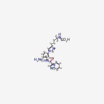 CC(C)(CCCc1cn(-c2ccc(CN)c(NC(=O)c3cnc4ccccn34)c2)cn1)NC(=O)O